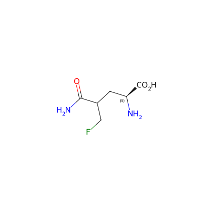 NC(=O)C(CF)C[C@H](N)C(=O)O